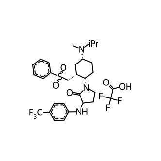 CC(C)N(C)[C@@H]1CC[C@H](N2CCC(Nc3ccc(C(F)(F)F)cc3)C2=O)[C@H](CS(=O)(=O)c2ccccc2)C1.O=C(O)C(F)(F)F